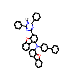 C=N/C(=N\C(=N/Cc1ccccc1)c1ccc(N(c2ccc(-c3ccccc3)cc2)c2cccc3c2oc2ccccc23)c2c1oc1ccccc12)c1ccccc1